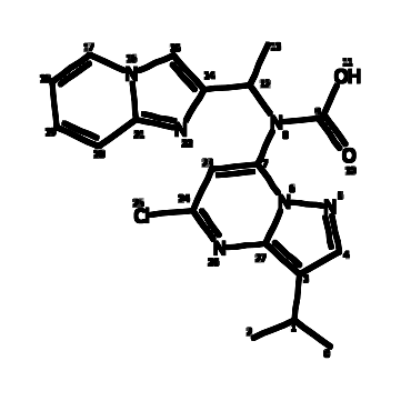 CC(C)c1cnn2c(N(C(=O)O)C(C)c3cn4ccccc4n3)cc(Cl)nc12